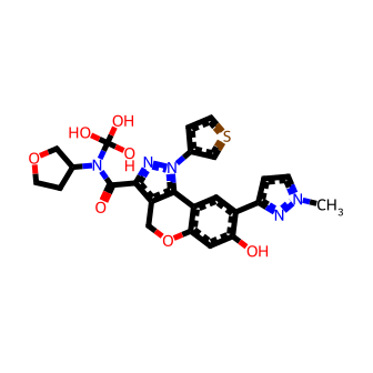 Cn1ccc(-c2cc3c(cc2O)OCc2c(C(=O)N(C4CCOC4)C(O)(O)O)nn(-c4ccsc4)c2-3)n1